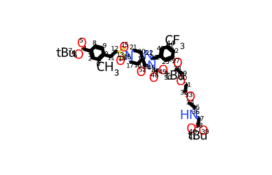 Cc1cc(C(=O)OC(C)(C)C)ccc1CCS(=O)(=O)N1CCC2(CC1)N=C(c1cc(OCCOCCOCCNCC(=O)OC(C)(C)C)cc(C(F)(F)F)c1)N(C(=O)OC(C)(C)C)C2=O